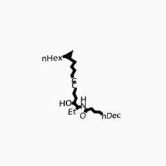 CCCCCCCCCCCCCC(=O)NC(CC)C(O)CCCCCCCCCC1CC1CCCCCC